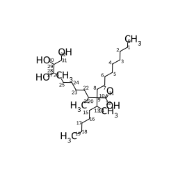 CCCCCCCCCC(C(=O)O)(C(C)CCCCC)C(C)CCCCC.OCC(O)CO